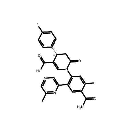 Cc1cncc(-c2cc(C(N)=O)c(C)cc2N2C=C(C(=O)O)[C@H](c3ccc(F)cc3)CC2=O)n1